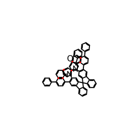 c1ccc(-c2ccc(-c3cc4c(cc3N(c3ccccc3)c3ccccc3)C3(c5ccccc5-4)c4ccccc4-c4cc(-c5ccc(-c6ccccc6)cc5)c(N(c5ccccc5)c5ccc6c(c5)oc5ccccc56)cc43)cc2)cc1